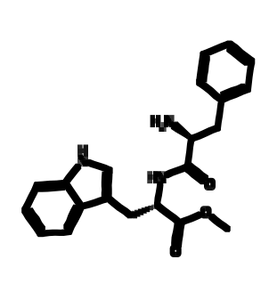 COC(=O)[C@H](Cc1c[nH]c2ccccc12)NC(=O)[C@@H](N)Cc1ccccc1